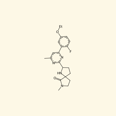 CCOc1ccc(F)c(-c2cc(C)nc(C3CCC4(CCN(C)C4=O)N3)n2)c1